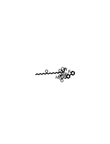 CCCCCCCC(=O)CCCCCC/C=C/[C@H](C(=O)N[C@@H](Cc1ccc(-c2ccccc2F)cc1)C(=O)O)[C@@](O)(CCC)C(=O)O